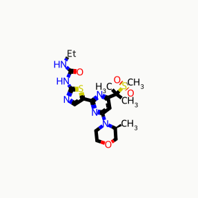 CCNC(=O)Nc1ncc(-c2nc(N3CCOC[C@@H]3C)cc(C(C)(C)S(C)(=O)=O)n2)s1